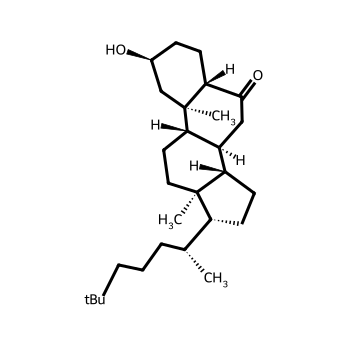 C[C@H](CCCC(C)(C)C)[C@H]1CC[C@H]2[C@@H]3CC(=O)[C@H]4CC[C@H](O)C[C@]4(C)[C@H]3CC[C@]12C